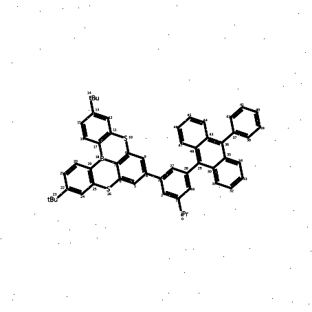 CC(C)c1cc(-c2cc3c4c(c2)Sc2cc(C(C)(C)C)ccc2B4c2ccc(C(C)(C)C)cc2S3)cc(-c2c3ccccc3c(-c3ccccc3)c3ccccc23)c1